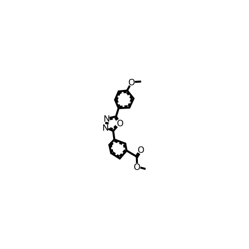 COC(=O)c1cccc(-c2nnc(-c3ccc(OC)cc3)o2)c1